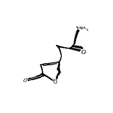 NC(=O)CC1=CC(=O)OC1